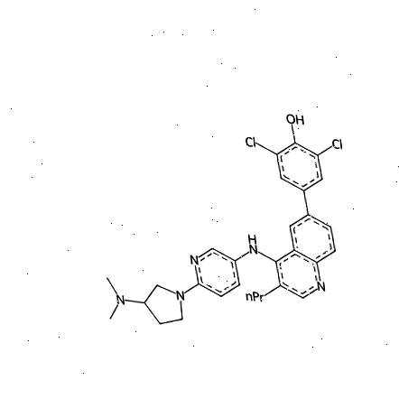 CCCc1cnc2ccc(-c3cc(Cl)c(O)c(Cl)c3)cc2c1Nc1ccc(N2CCC(N(C)C)C2)nc1